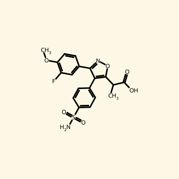 COc1ccc(-c2noc(C(C)C(=O)O)c2-c2ccc(S(N)(=O)=O)cc2)cc1F